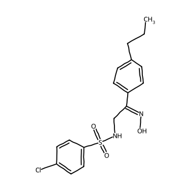 CCCc1ccc(C(CNS(=O)(=O)c2ccc(Cl)cc2)=NO)cc1